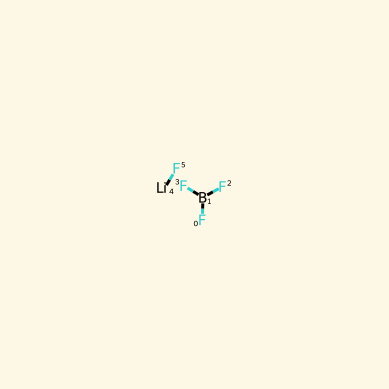 FB(F)F.[Li][F]